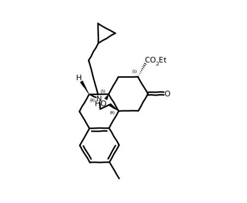 CCOC(=O)[C@H]1C[C@@]2(O)[C@H]3Cc4ccc(C)cc4[C@@]2(CCN3CC2CC2)CC1=O